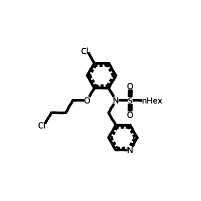 CCCCCCS(=O)(=O)N(Cc1ccncc1)c1ccc(Cl)cc1OCCCCl